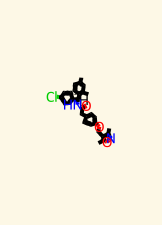 [2H]C(NC(=O)Cc1ccc(OCc2c(C)noc2C)cc1)(c1ccc(Cl)cc1)c1ccc(C)cc1C